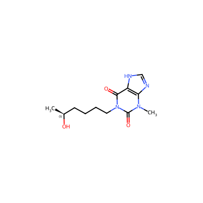 C[C@H](O)CCCCn1c(=O)c2[nH]cnc2n(C)c1=O